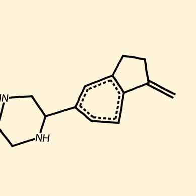 C=C1CCc2cc(C3CNCCN3)ccc21